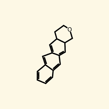 C1=c2cc3ccccc3cc2=CC2COCCC12